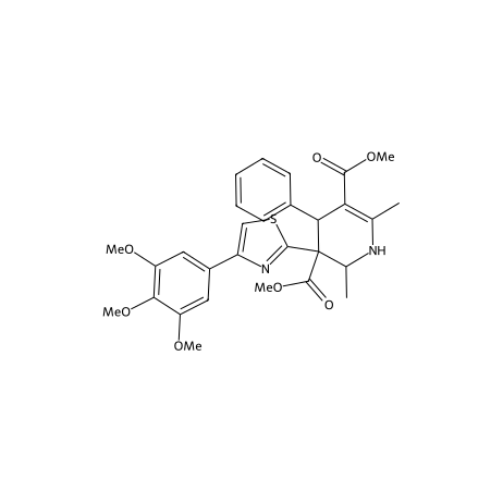 COC(=O)C1=C(C)NC(C)C(C(=O)OC)(c2nc(-c3cc(OC)c(OC)c(OC)c3)cs2)C1c1ccccc1